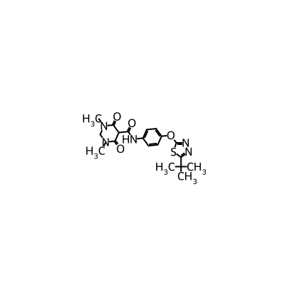 CN1CN(C)C(=O)C(C(=O)Nc2ccc(Oc3nnc(C(C)(C)C)s3)cc2)C1=O